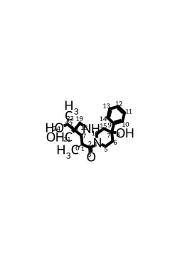 C[C@@H](C(=O)N1CCC(O)(c2ccccc2)CC1)[C@H]1NCC1(C=O)[C@@H](C)O